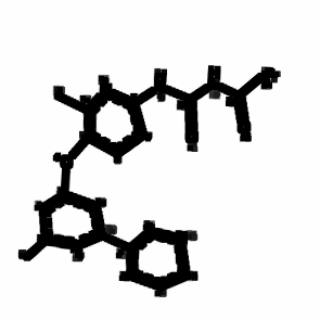 Cc1cc(Oc2ccc(NC(=O)NC(=O)C(C)C)nc2C)cc(-c2cccnc2)n1